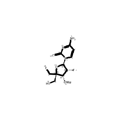 CO[C@H]1[C@@H](F)[C@H](n2ccc(N)nc2=O)O[C@@]1(CO)CF